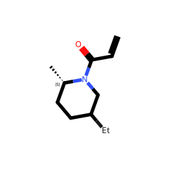 C=CC(=O)N1CC(CC)CC[C@@H]1C